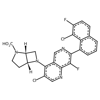 O=C(O)N1CC[C@@H]2[C@H]1CN2c1c(Cl)cnc2c(F)c(-c3cccc4ccc(F)c(Cl)c34)ncc12